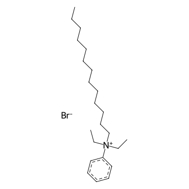 CCCCCCCCCCCCC[N+](CC)(CC)c1ccccc1.[Br-]